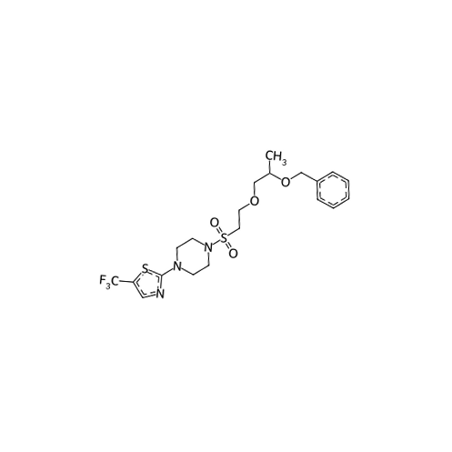 CC(COCCS(=O)(=O)N1CCN(c2ncc(C(F)(F)F)s2)CC1)OCc1ccccc1